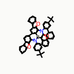 CC(C)(C)c1ccc(N2B3c4c(cc5c(oc6ccccc65)c4N(c4ccc(C(C)(C)C)cc4-c4ccccc4)c4oc5ccccc5c43)-c3ccc4c(oc5ccccc54)c32)cc1